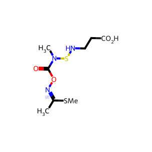 CS/C(C)=N\OC(=O)N(C)SNCCC(=O)O